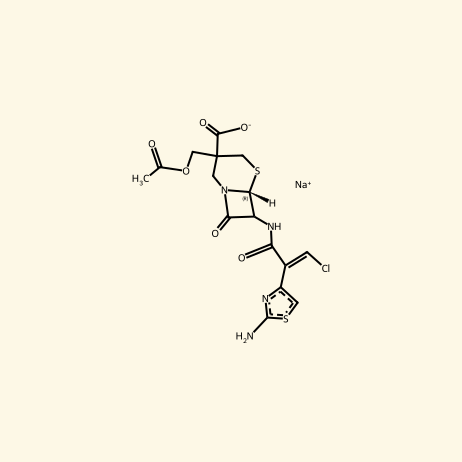 CC(=O)OCC1(C(=O)[O-])CS[C@@H]2C(NC(=O)C(=CCl)c3csc(N)n3)C(=O)N2C1.[Na+]